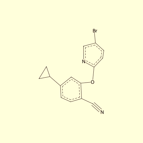 N#Cc1ccc(C2CC2)cc1Oc1ccc(Br)cn1